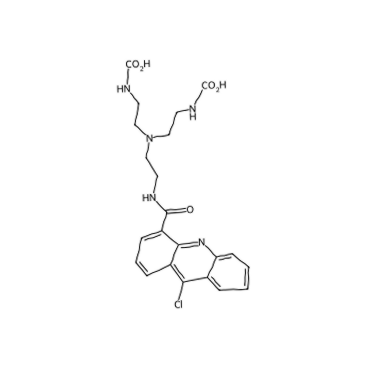 O=C(O)NCCN(CCNC(=O)O)CCNC(=O)c1cccc2c(Cl)c3ccccc3nc12